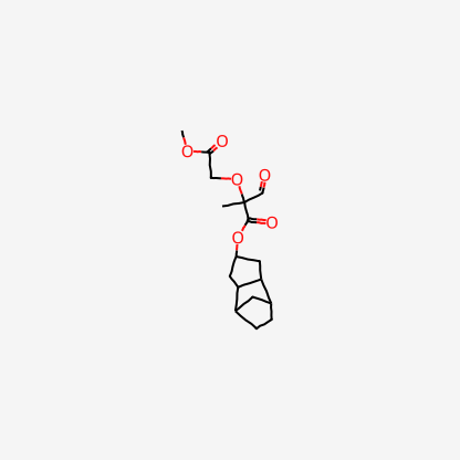 COC(=O)COC(C)(C=O)C(=O)OC1CC2C3CCC(C3)C2C1